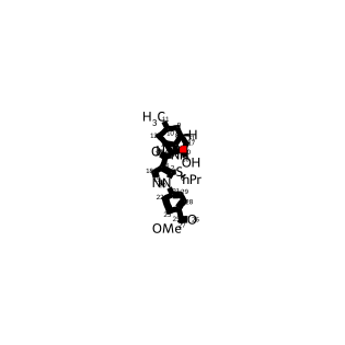 CCCSc1c(C(=O)N[C@@H]2[C@@H]3CC(C)C[C@H]2CC(O)C3)cnn1-c1ccc(C(=O)OC)cc1